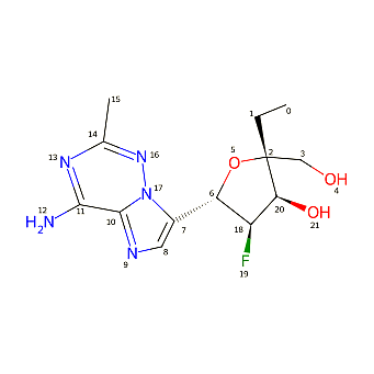 CC[C@]1(CO)O[C@@H](c2cnc3c(N)nc(C)nn23)[C@H](F)[C@@H]1O